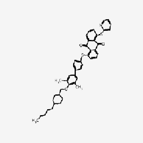 CCCCCC1CCC(COc2c(C)cc(-c3ccc(Sc4cccc5c4C(=O)c4cccc(Sc6ccccn6)c4C5=O)cc3)cc2C)CC1